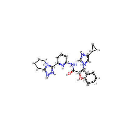 O=C(Nc1cccc(-c2nnc3n2CCCC3)n1)c1oc2ccccc2c1-n1cnc(C2CC2)c1